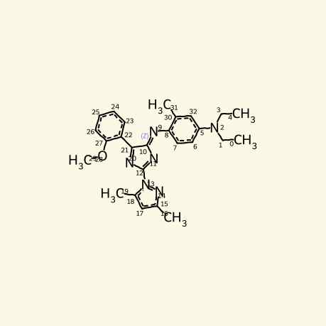 CCN(CC)c1ccc(/N=C2\N=C(n3nc(C)cc3C)N=C2c2ccccc2OC)c(C)c1